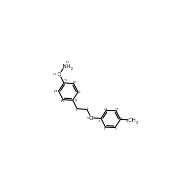 Cc1ccc(OCCc2ccc(ON)cc2)cc1